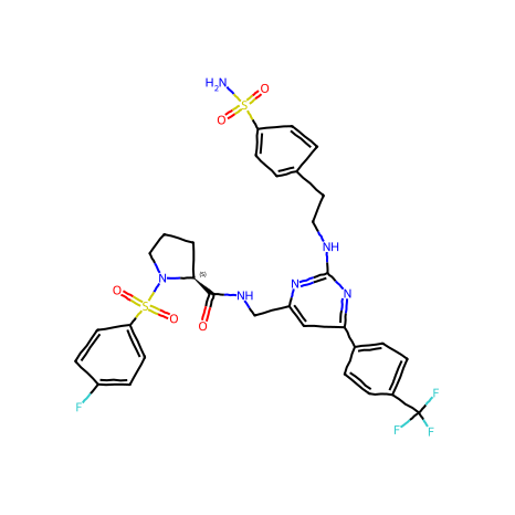 NS(=O)(=O)c1ccc(CCNc2nc(CNC(=O)[C@@H]3CCCN3S(=O)(=O)c3ccc(F)cc3)cc(-c3ccc(C(F)(F)F)cc3)n2)cc1